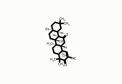 [C-]#[N+]C1=C[C@@]2(C)C(CC[C@]3(C)[C@@H]2CC(=O)[C@@H]2[C@@H]4CC(C)(C)CC[C@]4(CC)CC[C@]23C)C(C)(C)C1=O